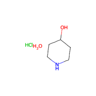 Cl.O.OC1CCNCC1